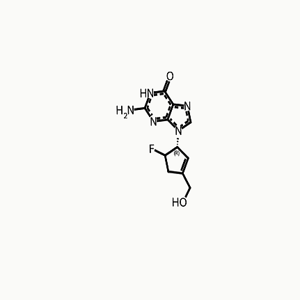 Nc1nc2c(ncn2[C@@H]2C=C(CO)CC2F)c(=O)[nH]1